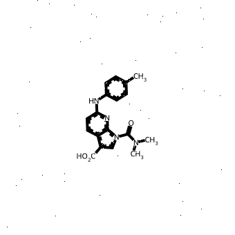 Cc1ccc(Nc2ccc3c(C(=O)O)cn(C(=O)N(C)C)c3n2)cc1